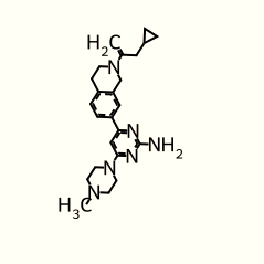 C=C(CC1CC1)N1CCc2ccc(-c3cc(N4CCN(C)CC4)nc(N)n3)cc2C1